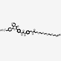 [N-]=[N+]=NCCOCCOCCOCCOCCC(=O)NCc1ccc(NC(=O)Nc2ccc(CC(=O)N3CCOC[C@H]3C(=O)N3CCC(CC(=O)O)CC3)cc2)cc1